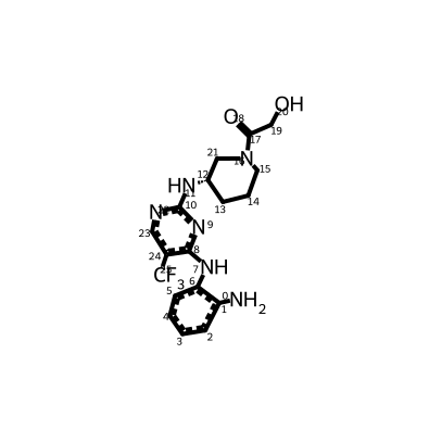 Nc1ccccc1Nc1nc(N[C@H]2CCCN(C(=O)CO)C2)ncc1C(F)(F)F